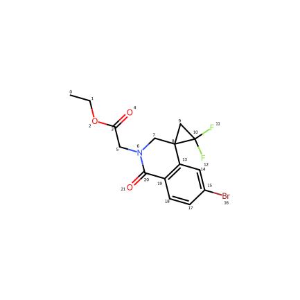 CCOC(=O)CN1CC2(CC2(F)F)c2cc(Br)ccc2C1=O